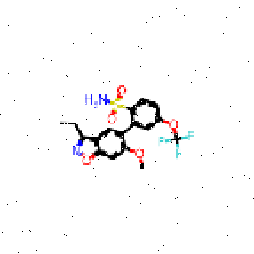 CCc1noc2cc(OC)c(-c3cc(OC(F)(F)F)ccc3S(N)(=O)=O)cc12